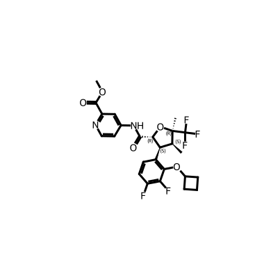 COC(=O)c1cc(NC(=O)[C@@H]2O[C@@](C)(C(F)(F)F)[C@@H](C)[C@H]2c2ccc(F)c(F)c2OC2CCC2)ccn1